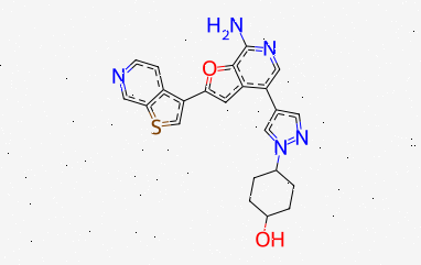 Nc1ncc(-c2cnn(C3CCC(O)CC3)c2)c2cc(-c3csc4cnccc34)oc12